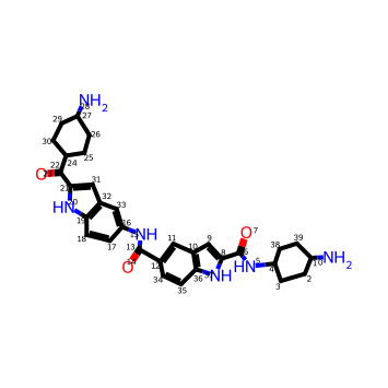 NC1CCC(NC(=O)c2cc3cc(C(=O)Nc4ccc5[nH]c(C(=O)C6CCC(N)CC6)cc5c4)ccc3[nH]2)CC1